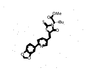 CCC(C)[C@@H](C(=O)OC)N1C(=O)/C(=C/c2ccc(-c3ccc4c(c3)OCO4)nc2)SC1=S